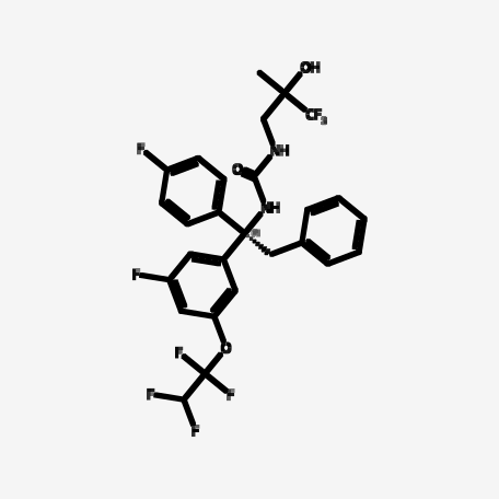 CC(O)(CNC(=O)N[C@](Cc1ccccc1)(c1ccc(F)cc1)c1cc(F)cc(OC(F)(F)C(F)F)c1)C(F)(F)F